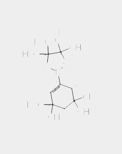 CC1(C)C=C(B2OC(C)(C)C(C)(C)O2)CC(C)(C)C1